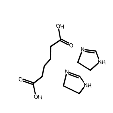 C1=NCCN1.C1=NCCN1.O=C(O)CCCCC(=O)O